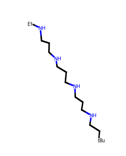 CCNCCCNCCCNCCCNCCC(C)(C)C